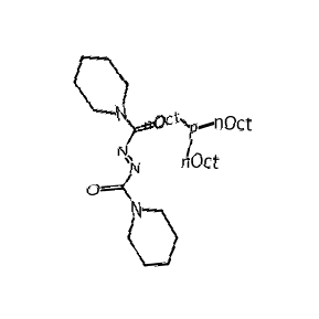 CCCCCCCCP(CCCCCCCC)CCCCCCCC.O=C(N=NC(=O)N1CCCCC1)N1CCCCC1